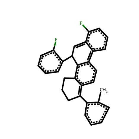 Cc1ccccc1C1=c2ccc3c(c2CCC1)C(c1ccccc1F)C=c1c(F)cccc1=3